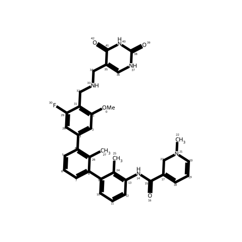 COc1cc(-c2cccc(-c3cccc(NC(=O)C4=CC=CN(C)C4)c3C)c2C)cc(F)c1CNCc1c[nH]c(=O)[nH]c1=O